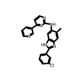 Cc1cc2nc(-c3cccc(Cl)c3)[nH]c2cc1Nc1nccc(-c2cccnc2)n1